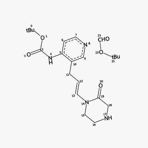 CC(C)(C)OC(=O)Nc1ccncc1CC=CN1CCNCC1=O.CC(C)(C)OC=O